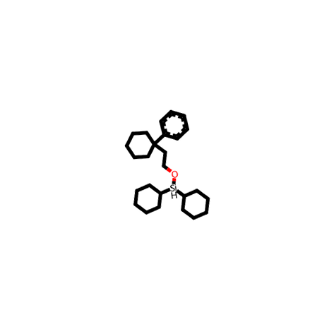 c1ccc(C2(CCO[SiH](C3CCCCC3)C3CCCCC3)CCCCC2)cc1